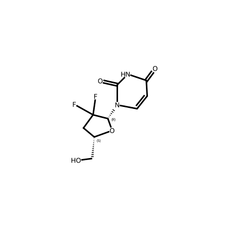 O=c1ccn([C@@H]2O[C@H](CO)CC2(F)F)c(=O)[nH]1